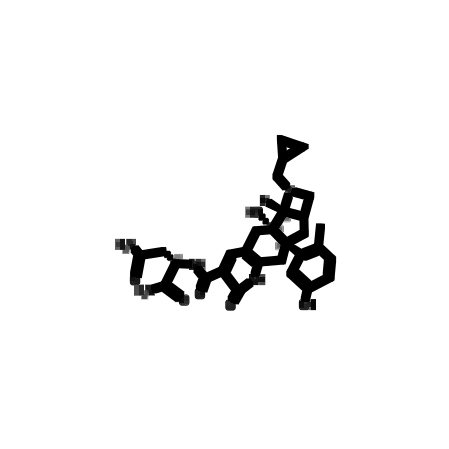 Cc1ccc(O)cc1[C@@]12Cc3[nH]c(=O)c(C(=O)N[C@@H](CC(N)=O)C(N)=O)cc3C[C@@]1(O)[C@H]1C(CN1CC1CC1)C2